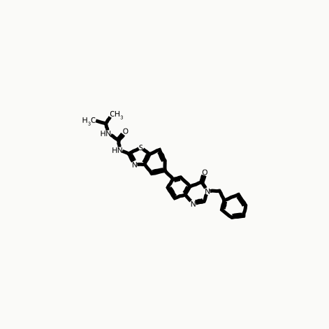 CC(C)NC(=O)Nc1nc2cc(-c3ccc4ncn(Cc5ccccc5)c(=O)c4c3)ccc2s1